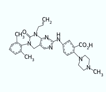 C=CCN1C(=O)N(c2c(C)cccc2C)Cc2cnc(Nc3ccc(N4CCN(C)CC4)c(C(=O)O)c3)nc21